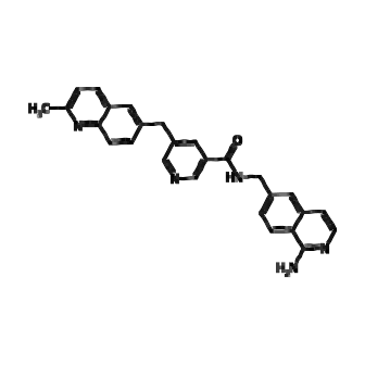 Cc1ccc2cc(Cc3cncc(C(=O)NCc4ccc5c(N)nccc5c4)c3)ccc2n1